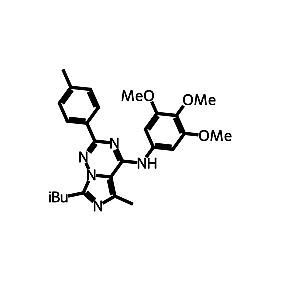 CCC(C)c1nc(C)c2c(Nc3cc(OC)c(OC)c(OC)c3)nc(-c3ccc(C)cc3)nn12